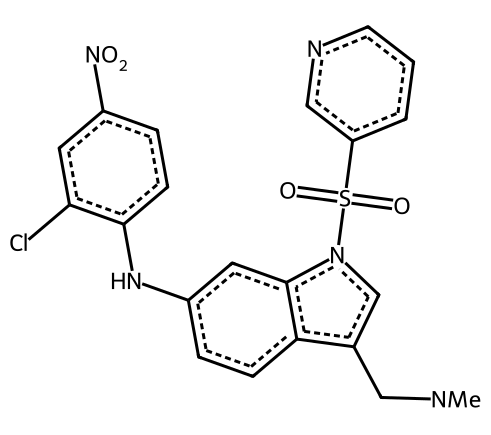 CNCc1cn(S(=O)(=O)c2cccnc2)c2cc(Nc3ccc([N+](=O)[O-])cc3Cl)ccc12